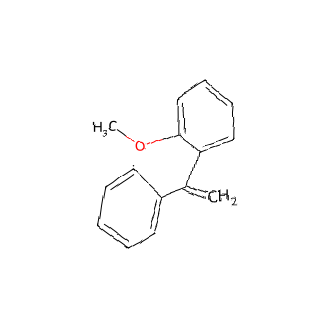 C=C(c1[c]cccc1)c1ccccc1OC